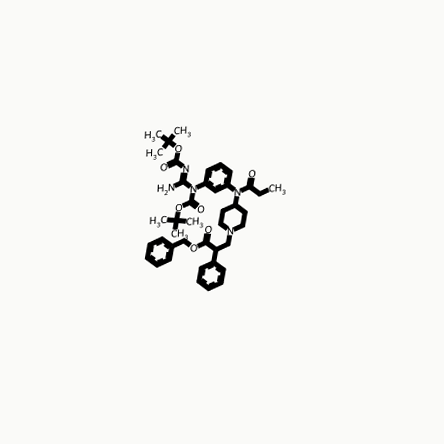 CCC(=O)N(c1cccc(N(C(=O)OC(C)(C)C)C(N)=NC(=O)OC(C)(C)C)c1)C1CCN(CC(C(=O)OCc2ccccc2)c2ccccc2)CC1